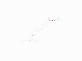 CNC(=O)OCCCCCN(C)C